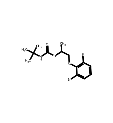 C[C@@H](COc1c(Br)cccc1Br)OC(=O)NC(C)(C)C